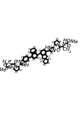 COC(=O)N[C@@H](C)C(=O)N1CCC[C@H]1c1ncc(-c2ccc(-c3ccc(-c4ccc5nc([C@@H]6CCCN6C(=O)[C@H](C)NC(=O)OC)[nH]c5c4)c4c3C3CCC4CC3)c3c2CC2(CCCC2)C3)[nH]1